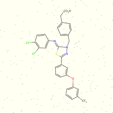 O=C(O)Cc1ccc(Cn2nc(-c3cccc(Oc4cccc(C(F)(F)F)c4)c3)s/c2=N\c2ccc(Cl)c(Cl)c2)cc1